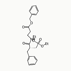 CCOP(=O)(C[C@H](Cc1ccccc1)C(=O)NCCC(=O)OCc1ccccc1)OCC